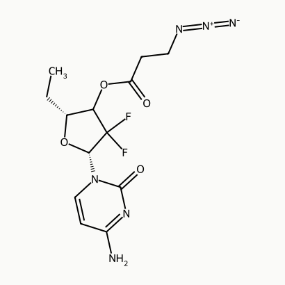 CC[C@H]1O[C@@H](n2ccc(N)nc2=O)C(F)(F)C1OC(=O)CCN=[N+]=[N-]